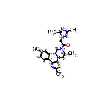 Cc1nc(C)n(CC(=O)N2CCN(c3sc(C(F)(F)F)nc3-c3ccc(C#N)cc3)C[C@H]2C)n1